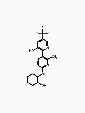 Cc1nc(NC2CCCCC2O)nnc1-c1ncc(C(F)(F)F)cc1O